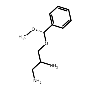 CO[C@@H](OCC(N)CN)c1ccccc1